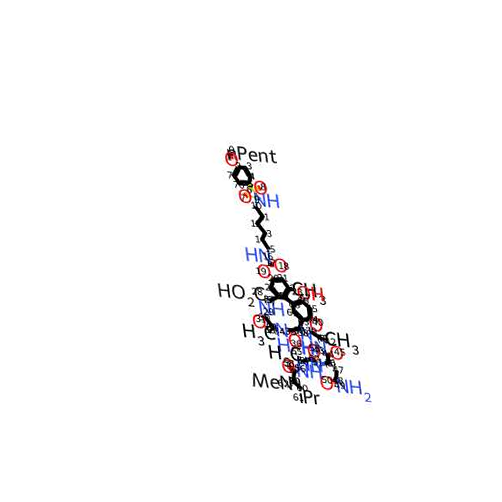 CCCCCOc1ccc(S(=O)(=O)NCCCCCCNC(=O)Oc2cc(C)c3c(c2)[C@@H](C(=O)O)NC(=O)[C@H](C)NC(=O)[C@H](NC(=O)[C@@H](C)NC(=O)[C@H](CC(N)=O)NC(=O)[C@@H](C)NC(=O)[C@@H](CC(C)C)NC)c2ccc(O)c-3c2)cc1